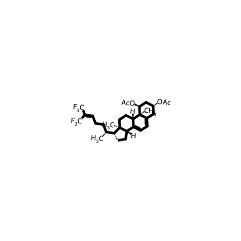 CC(=O)O[C@@H]1CC2=CC=C3[C@@H]4CC[C@H]([C@H](C)CCC=C(C(F)(F)F)C(F)(F)F)[C@@]4(C)CC[C@@H]3[C@@]2(C)[C@@H](OC(C)=O)C1